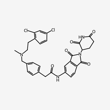 CN(CCc1ccc(Cl)cc1Cl)Cc1ccc(CC(=O)Nc2ccc3c(c2)C(=O)N(C2CCC(=O)NC2=O)C3=O)cc1